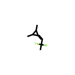 CC1C(=CC(C)(F)F)C1C